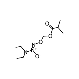 CCN(CC)/[N+]([O-])=N/OCOC(=O)C(C)C